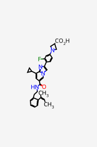 C/C=C(/C)c1ccccc1CCNC(=O)c1cc(C2CC2)c2nc(-c3ccc(N4CC(C(=O)O)C4)cc3F)cn2c1